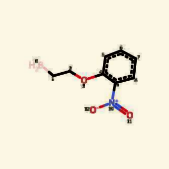 BCCOc1ccccc1[N+](=O)[O-]